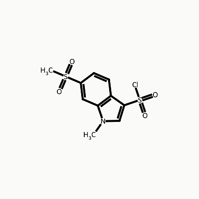 Cn1cc(S(=O)(=O)Cl)c2ccc(S(C)(=O)=O)cc21